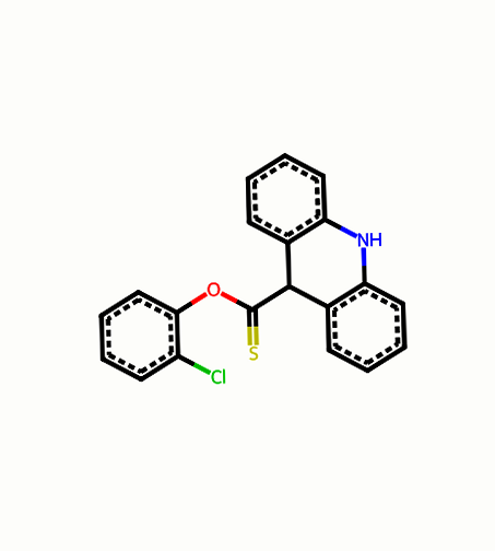 S=C(Oc1ccccc1Cl)C1c2ccccc2Nc2ccccc21